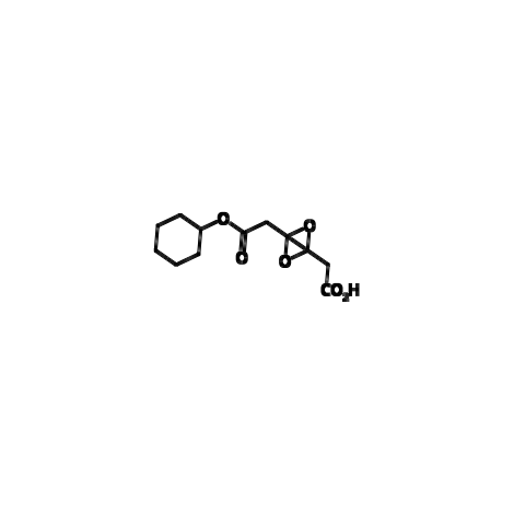 O=C(O)CC12OC1(CC(=O)OC1CCCCC1)O2